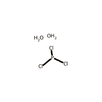 ClP(Cl)Cl.O.O